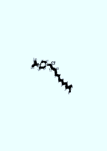 CC(C)CCCCCCCCCC(=O)N1CCN(C(C)C)CC1